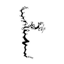 CCCCCCCCCCCCCCCCCCCCCC(=O)O[C@H](COC(=O)CCCCCCCCCCCCCCCC)COP(=O)(O)OC[C@H](N)C(=O)O